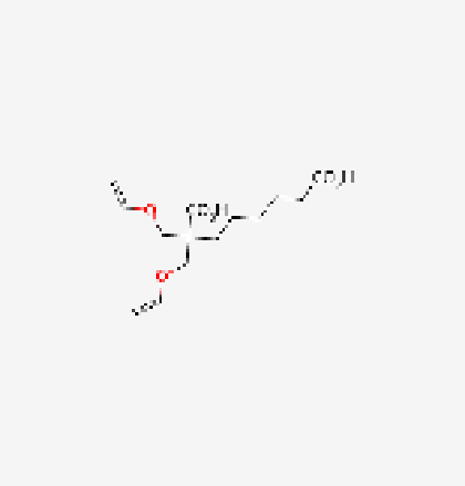 C=COCC(CCCCCC(=O)O)(COC=C)C(=O)O